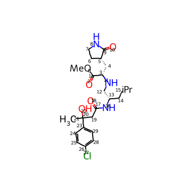 COC(=O)[C@H](C[C@@H]1CCNC1=O)NC[C@H](CC(C)C)NC(=O)CC(C)(O)c1ccc(Cl)cc1